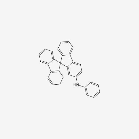 C1=CC2=C(CC1)C1(c3ccccc32)c2ccccc2-c2ccc(Nc3ccccc3)cc21